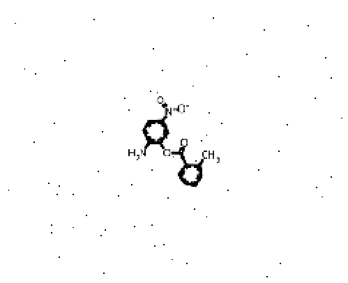 Cc1ccccc1C(=O)Oc1cc([N+](=O)[O-])ccc1N